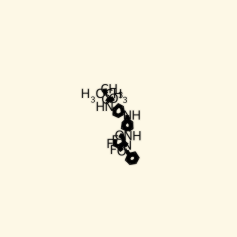 CC(C)(C)OC(=O)NC1CCC(Nc2ccc(NC(=O)c3nc(-c4ccccc4)oc3C(F)(F)F)cc2)CC1